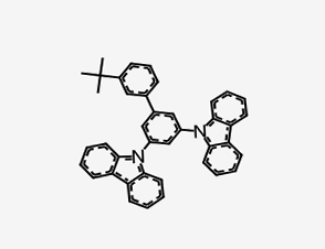 CC(C)(C)c1cccc(-c2cc(-n3c4ccccc4c4ccccc43)cc(-n3c4ccccc4c4ccccc43)c2)c1